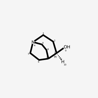 O[C@@H]1CCN2CCC1CC2